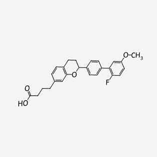 COc1ccc(F)c(-c2ccc(C3CCc4ccc(CCCC(=O)O)cc4O3)cc2)c1